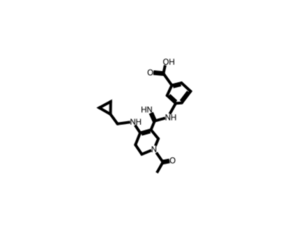 CC(=O)N1CCC(NCC2CC2)=C(C(=N)Nc2cccc(C(=O)O)c2)C1